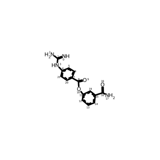 N=C(N)Nc1ccc(C(=O)Oc2cccc(C(N)=O)c2)cc1